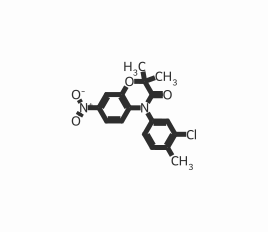 Cc1ccc(N2C(=O)C(C)(C)Oc3cc([N+](=O)[O-])ccc32)cc1Cl